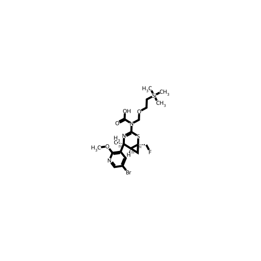 COc1ncc(Br)cc1[C@@]1(C)N=C(N(COCC[Si](C)(C)C)C(=O)O)S[C@@]2(CF)C[C@H]21